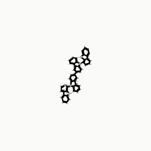 c1ccc2c(c1)sc1c(-n3c4ccccc4c4cc(-c5ccc6c(c5)c5ccccc5n6-c5nccc6c5sc5ccccc56)ccc43)cccc12